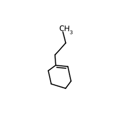 CCCC1=CCCCC1